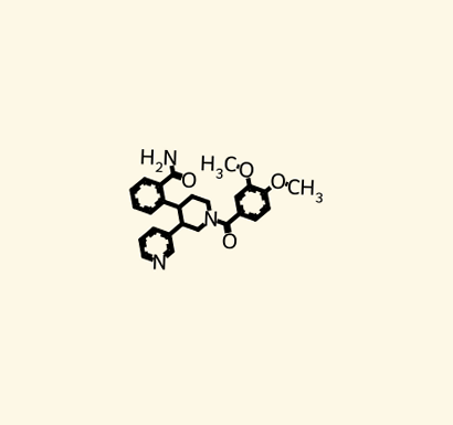 COc1ccc(C(=O)N2CCC(c3ccccc3C(N)=O)C(c3cccnc3)C2)cc1OC